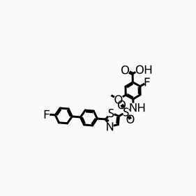 COc1cc(C(=O)O)c(F)cc1NS(=O)(=O)c1cnc(-c2ccc(C3=CC=C(F)CC3)cc2)s1